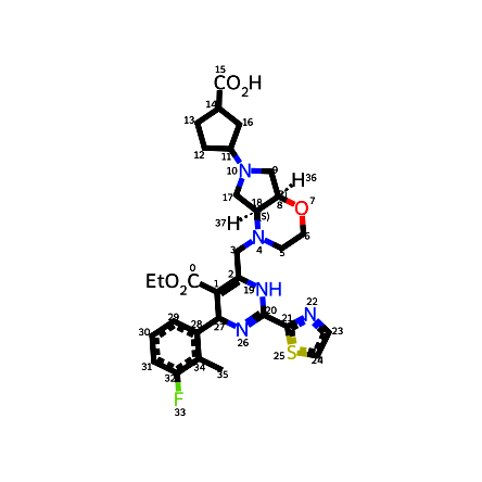 CCOC(=O)C1=C(CN2CCO[C@@H]3CN(C4CCC(C(=O)O)C4)C[C@@H]32)NC(c2nccs2)=NC1c1cccc(F)c1C